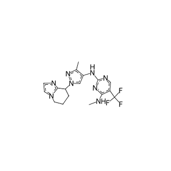 CNc1nc(Nc2cn(C3CCCn4ccnc43)nc2C)ncc1C(F)(F)F